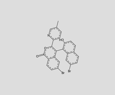 Cc1ccc(-c2oc(=O)c3ccc(Br)cc3c2-c2c(O)ccc3ccc(Br)cc23)nc1